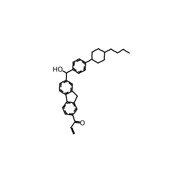 C=CC(=O)c1ccc2c(c1)Cc1cc(C(O)c3ccc(C4CCC(CCCC)CC4)cc3)ccc1-2